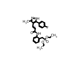 CCOP(=O)(Cc1ccccc1NC(=O)/C=C/c1c(C)n[nH]c1-c1ccc(F)cc1)OCC